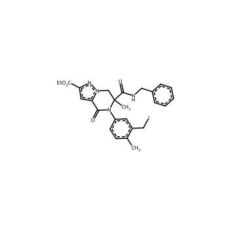 CCOC(=O)c1cc2n(n1)CC(C)(C(=O)NCc1ccccc1)N(c1ccc(C)c(CI)c1)C2=O